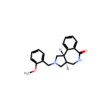 COc1ccccc1CN1C[C@@H]2CNC(=O)c3ccccc3[C@H]2C1